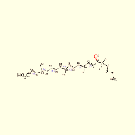 CC(=O)CCCC(C)(C)C(=O)/C=C/C(C)=C/C=C/C(C)=C/C=C/C=C(C)/C=C/C(=O)O